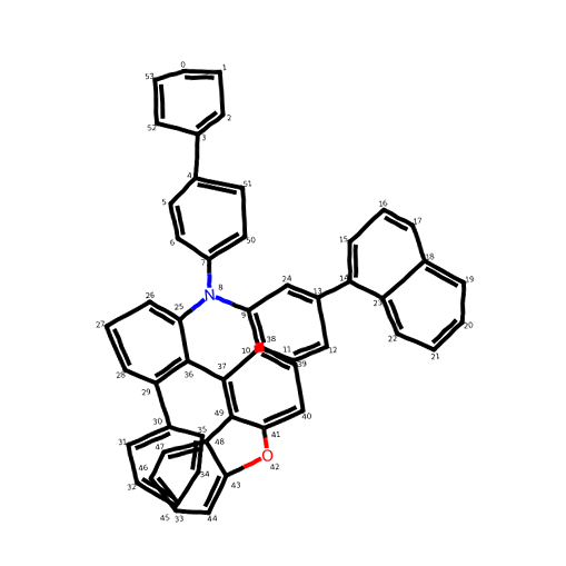 c1ccc(-c2ccc(N(c3cccc(-c4cccc5ccccc45)c3)c3cccc(-c4ccccc4)c3-c3cccc4oc5ccccc5c34)cc2)cc1